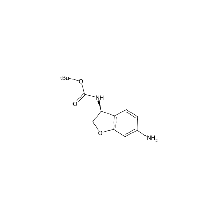 CC(C)(C)OC(=O)N[C@@H]1COc2cc(N)ccc21